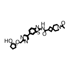 CC(=O)N1CCC2(CC1)CC(C(=O)Nc1nc3ccc(-c4cnc(CO[C@H]5CCC[C@@H]5O)nc4)cc3s1)C2